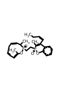 CC/C=C\C1=C(C)P(=O)(CCP2(=O)O/C(C)=C/C=C\C/C=C\C2C)Oc2ccccc21